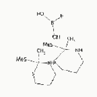 CSC1(C)NCCCS1.CSC1(C)NCCCS1.OB(O)F